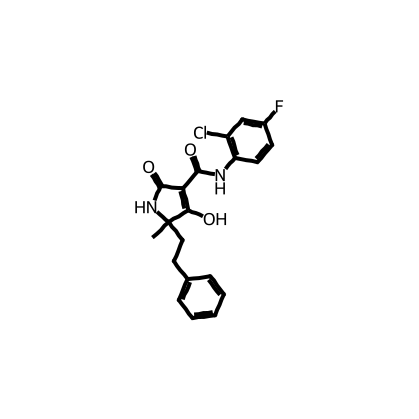 CC1(CCc2ccccc2)NC(=O)C(C(=O)Nc2ccc(F)cc2Cl)=C1O